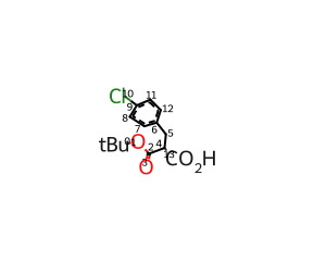 CC(C)(C)OC(=O)C(Cc1ccc(Cl)cc1)C(=O)O